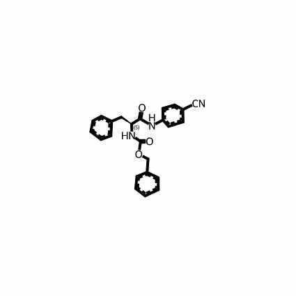 N#Cc1ccc(NC(=O)[C@H](Cc2ccccc2)NC(=O)OCc2ccccc2)cc1